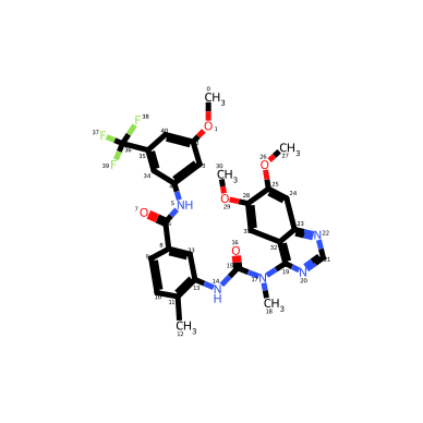 COc1cc(NC(=O)c2ccc(C)c(NC(=O)N(C)c3ncnc4cc(OC)c(OC)cc34)c2)cc(C(F)(F)F)c1